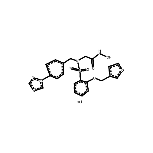 Cl.O=C(CN(Cc1ccc(-n2cncn2)cc1)S(=O)(=O)c1ccccc1OCc1ccoc1)NO